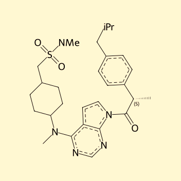 CNS(=O)(=O)CC1CCC(N(C)c2ncnc3c2ccn3C(=O)[C@@H](C)c2ccc(CC(C)C)cc2)CC1